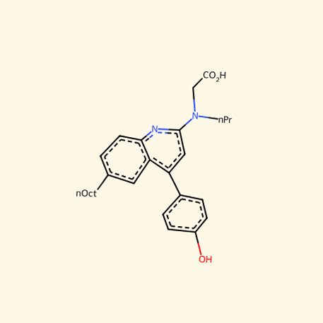 CCCCCCCCc1ccc2nc(N(CCC)CC(=O)O)cc(-c3ccc(O)cc3)c2c1